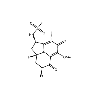 CCC1C[C@@H]2C[C@@H](NS(C)(=O)=O)c3c(I)c(=O)c(OC)c(n32)C1=O